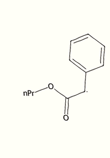 CCCOC(=O)[CH]c1ccccc1